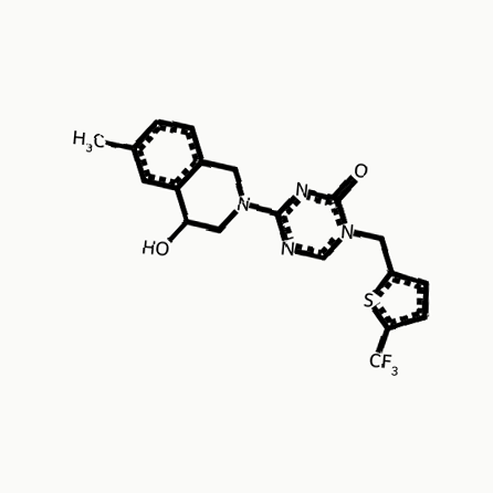 Cc1ccc2c(c1)C(O)CN(c1ncn(Cc3ccc(C(F)(F)F)s3)c(=O)n1)C2